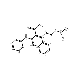 CC(=O)c1c(Nc2cccnc2)nc2cccnc2c1OCCN(C)C